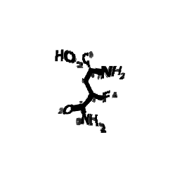 NC(=O)C(F)C[C@@H](N)C(=O)O